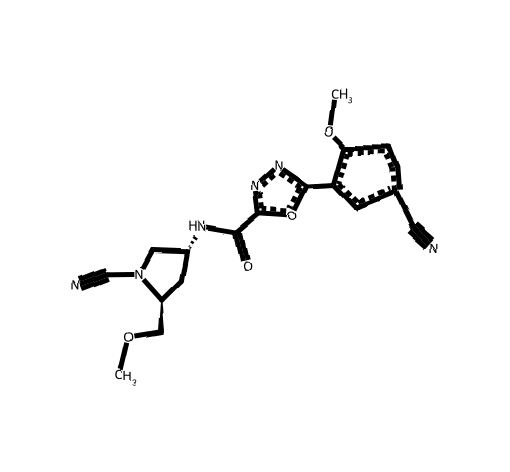 COC[C@@H]1C[C@@H](NC(=O)c2nnc(-c3cc(C#N)ccc3OC)o2)CN1C#N